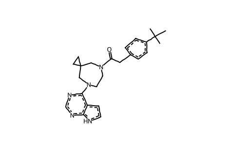 CC(C)(C)c1ccc(CC(=O)N2CCN(c3ncnc4[nH]ccc34)CC3(CC3)C2)cc1